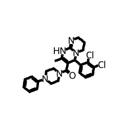 CC1=C(C(=O)N2CCN(c3ccccc3)CC2)C(c2cccc(Cl)c2Cl)N2CCCN=C2N1